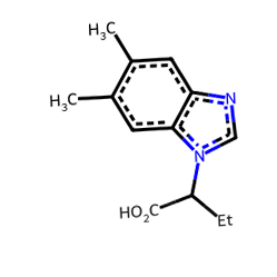 CCC(C(=O)O)n1cnc2cc(C)c(C)cc21